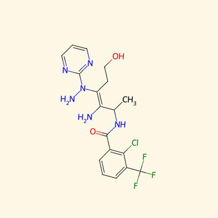 CC(NC(=O)c1cccc(C(F)(F)F)c1Cl)/C(N)=C(\CCO)N(N)c1ncccn1